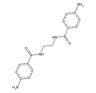 Nc1ccc(C(=O)NCCNC(=O)c2ccc(N)cc2)cc1